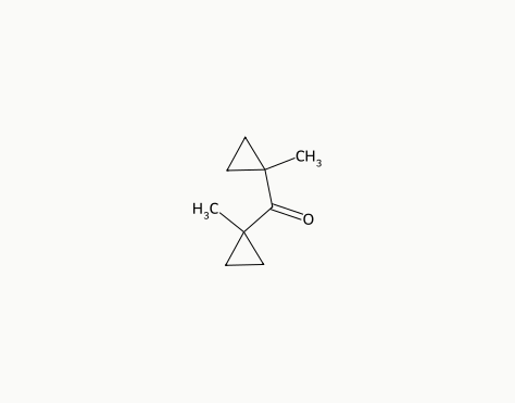 CC1(C(=O)C2(C)CC2)CC1